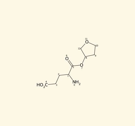 NC(CCC(=O)O)C(=O)OC1CCOC1